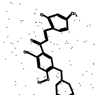 CCOc1cc(N=O)c(C(=O)/C=C/c2ccc(C)cc2Cl)cc1CN1CCNCC1